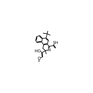 C=C(S)C1=NC(C)(/C(O)=C/OC)Cc2c1cc(C(C)(C)C)c1ccccc21